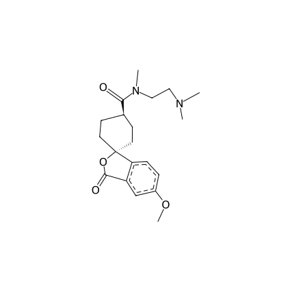 COc1ccc2c(c1)C(=O)O[C@]21CC[C@H](C(=O)N(C)CCN(C)C)CC1